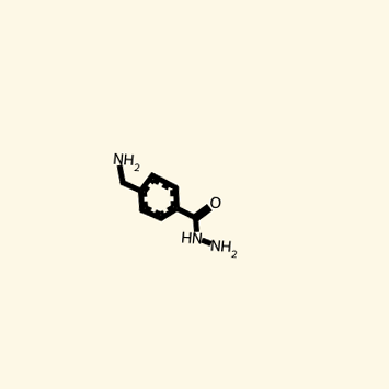 NCc1ccc(C(=O)NN)cc1